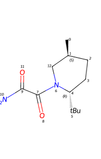 C[C@H]1CC[C@H](C(C)(C)C)N(C(=O)C(N)=O)C1